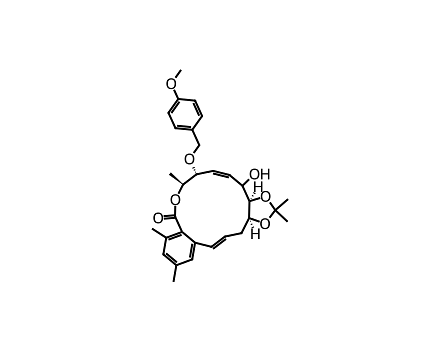 COc1ccc(CO[C@@H]2/C=C\C(O)[C@H]3OC(C)(C)O[C@H]3C/C=C/c3cc(C)cc(C)c3C(=O)O[C@H]2C)cc1